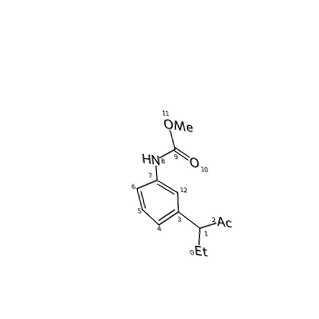 CCC(C(C)=O)c1cccc(NC(=O)OC)c1